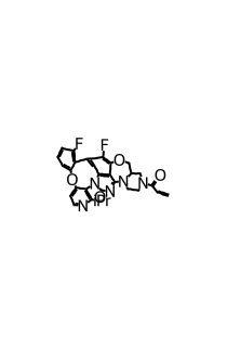 C=CC(=O)N1CCN2c3nc(=O)n4c5cc(c(F)c(c35)OCC2C1)c1c(F)cccc1oc1ccnc(C(C)C)c14